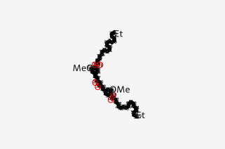 CC/C=C\C/C=C\C/C=C\C/C=C\C/C=C\CCCCC(=O)Oc1ccc(/C=C/C(=O)CC(=O)/C=C/c2ccc(OC(=O)CCC/C=C\C/C=C\C/C=C\C/C=C\C/C=C\CC)c(OC)c2)cc1OC